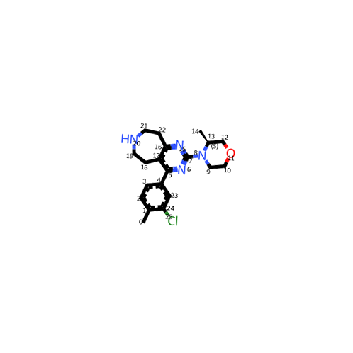 Cc1ccc(-c2nc(N3CCOC[C@@H]3C)nc3c2CCNCC3)cc1Cl